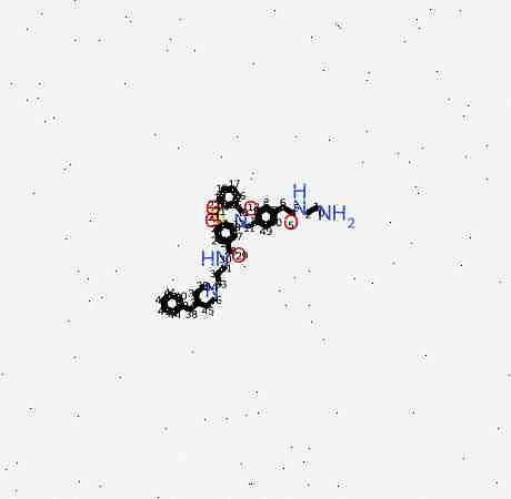 NCCNC(=O)Cc1ccc(CN2C(=O)c3ccccc3S(=O)(=O)c3ccc(C(=O)NCCCN4CCC(Cc5ccccc5)CC4)cc32)cc1